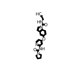 C#CCNC(=O)n1ccc2cc(Oc3ccnc(NC(=O)N4CCCC4)c3)ccc21